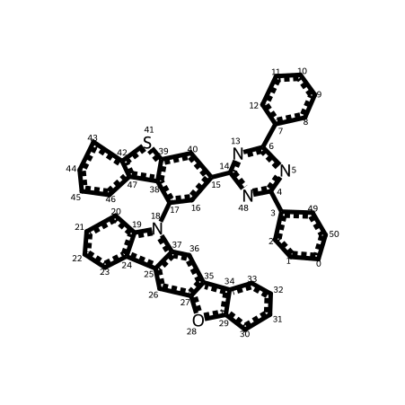 c1ccc(-c2nc(-c3ccccc3)nc(-c3cc(-n4c5ccccc5c5cc6oc7ccccc7c6cc54)c4c(c3)sc3ccccc34)n2)cc1